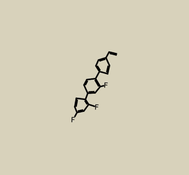 C=Cc1ccc(-c2ccc(-c3ccc(F)cc3F)cc2F)cc1